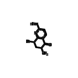 CCCCCCc1ccc2c(n1)C(CC)CC(C)C2=O